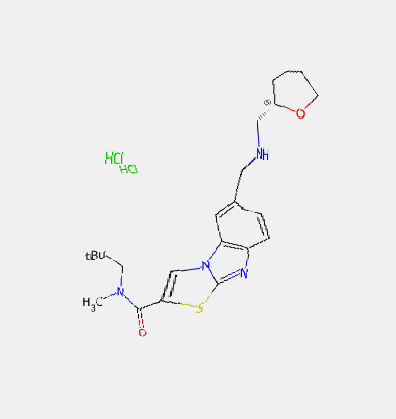 CN(CC(C)(C)C)C(=O)c1cn2c(nc3ccc(CNC[C@@H]4CCCO4)cc32)s1.Cl.Cl